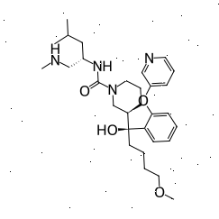 CNC[C@H](CC(C)C)NC(=O)N1CCC[C@@H]([C@@](O)(CCCCOC)c2ccccc2Oc2cccnc2)C1